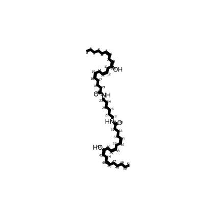 CCCCC/C=C\C/C=C(/O)C/C=C\C/C=C\CCCC(=O)NCCCCCCNC(=O)CCC/C=C\C/C=C\C/C(O)=C\C/C=C\CCCCC